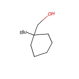 CC(C)(C)C1(CO)CCCCC1